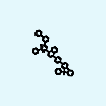 CC1(c2ccccc2)c2ccccc2-c2ccc(-c3ccc(-c4ccc(-c5cc(-c6cccc(-c7cccnc7)c6)nc(-c6ccccc6)n5)c5ccccc45)cc3)cc21